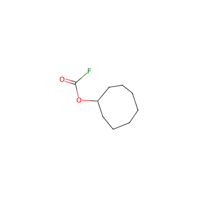 O=C(F)OC1CCCCCCC1